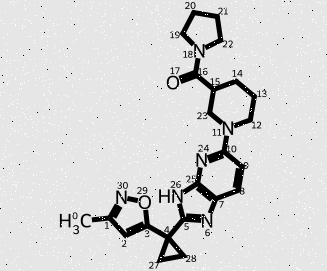 Cc1cc(C2(c3nc4ccc(N5CCCC(C(=O)N6CCCC6)C5)nc4[nH]3)CC2)on1